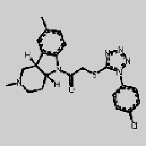 Cc1ccc2c(c1)[C@H]1CN(C)CC[C@H]1N2C(=O)CSc1nnnn1-c1ccc(Cl)cc1